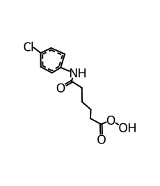 O=C(CCCCC(=O)OO)Nc1ccc(Cl)cc1